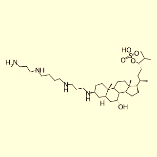 CC(C)[C@H](CC[C@@H](C)[C@H]1CCC2C3C(CC[C@@]21C)[C@@]1(C)CC[C@H](NCCCNCCCCNCCCN)C[C@@H]1C[C@H]3O)OS(=O)(=O)O